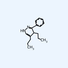 CCCC1=CNN=C(c2ccccc2)C1CCC